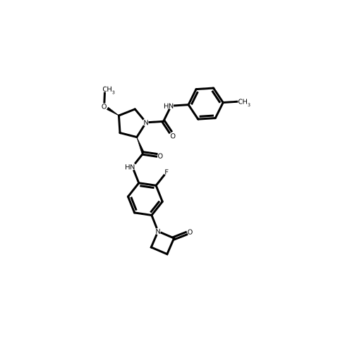 CO[C@@H]1C[C@H](C(=O)Nc2ccc(N3CCC3=O)cc2F)N(C(=O)Nc2ccc(C)cc2)C1